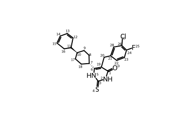 O=c1[nH]c(=S)[nH]c([C@H]2CC[C@H](C3C=CC=CC3)CC2)c1Cc1ccc(F)c(Cl)c1